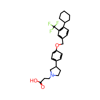 O=C(O)CCN1CCC(c2ccc(OCc3ccc(C4CCCCC4)c(C(F)(F)F)c3)cc2)C1